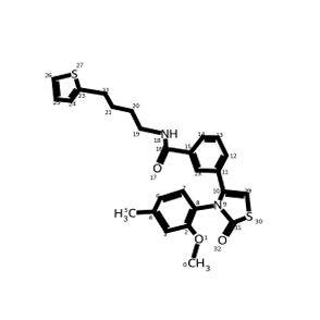 COc1cc(C)ccc1-n1c(-c2cccc(C(=O)NCCCCc3cccs3)c2)csc1=O